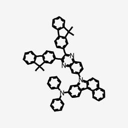 CC1(C)c2ccccc2-c2ccc(-c3nc4ccc(-n5c6cc(N(c7ccccc7)c7ccccc7)ccc6c6c7ccccc7ccc65)cc4nc3-c3ccc4c(c3)C(C)(C)c3ccccc3-4)cc21